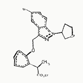 CCOC(=O)C(C)c1ccccc1OCc1nn(C2CCOC2)c2ccc(Br)cc12